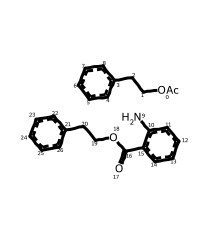 CC(=O)OCCc1ccccc1.Nc1ccccc1C(=O)OCCc1ccccc1